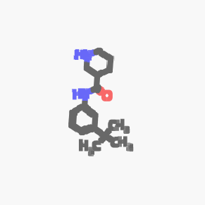 CC(C)(C)c1cccc(NC(=O)C2CCCNC2)c1